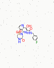 O=C1CN(c2nc(C(=O)NCc3ccc(F)cc3)c(O)c3ncccc23)S(=O)(=O)CCN1